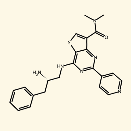 CN(C)C(=O)c1csc2c(NC[C@@H](N)Cc3ccccc3)nc(-c3ccncc3)nc12